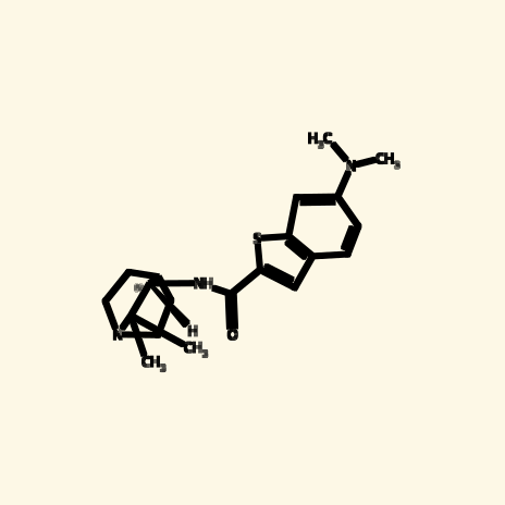 CN(C)c1ccc2cc(C(=O)N[C@H]3C4CCN(CC4)C3(C)C)sc2c1